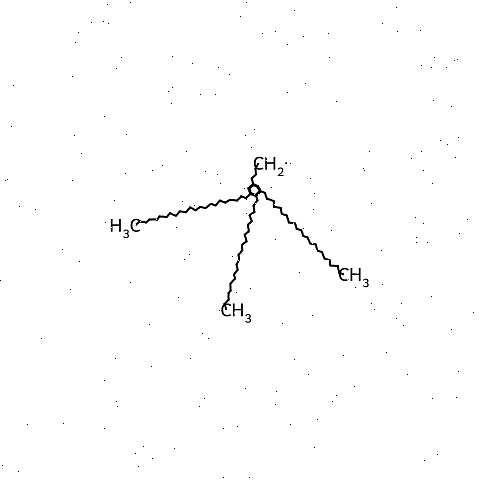 [CH2]CCCc1cc(CCCCCCCCCCCCCCCCCCCCCCC)c(CCCCCCCCCCCCCCCCCCCCCCC)c(CCCCCCCCCCCCCCCCCCCCCCC)c1